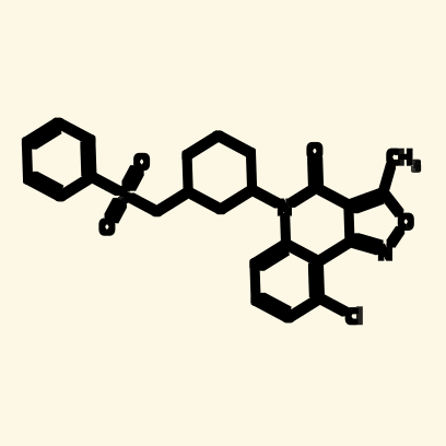 Cc1onc2c1c(=O)n(C1CCCC(CS(=O)(=O)c3ccccc3)C1)c1cccc(Cl)c21